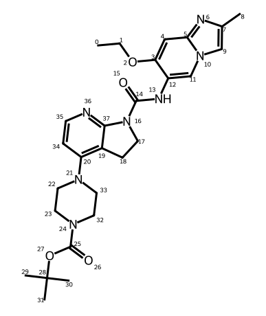 CCOc1cc2nc(C)cn2cc1NC(=O)N1CCc2c(N3CCN(C(=O)OC(C)(C)C)CC3)ccnc21